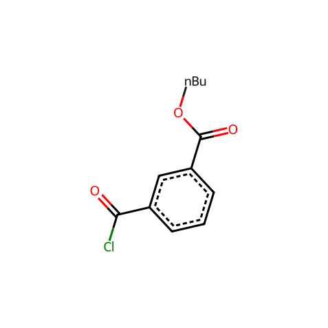 CCCCOC(=O)c1cccc(C(=O)Cl)c1